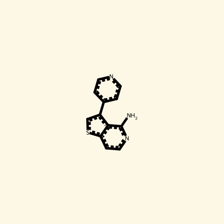 Nc1nccc2scc(-c3ccncc3)c12